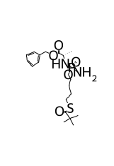 C[C@H](NP(N)(=O)OCCCCSC(=O)C(C)(C)C)C(=O)OCc1ccccc1